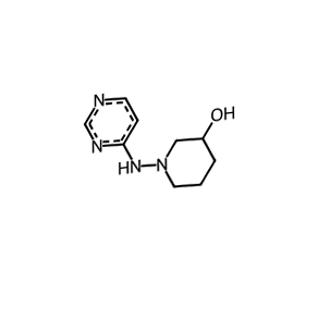 OC1CCCN(Nc2ccncn2)C1